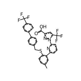 Cc1ccc(SCc2ccc(-c3ccc(C(F)(F)F)cc3)cc2)c(-c2cccc(-n3nc(C(=O)O)cc3C(F)(F)F)n2)c1